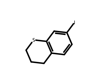 Ic1ccc2c(c1)SCCC2